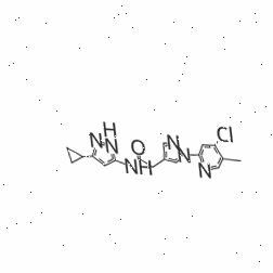 Cc1cnc(-n2cc(CC(=O)Nc3cc(C4CC4)n[nH]3)cn2)cc1Cl